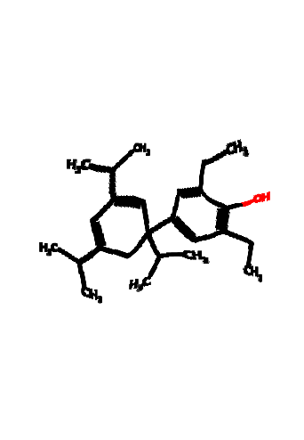 CCc1cc(C2(C(C)C)C=C(C(C)C)C=C(C(C)C)C2)cc(CC)c1O